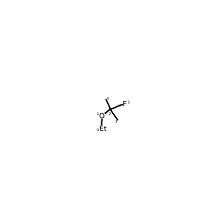 CCOC(C)(C)F